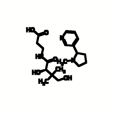 CC(C)(CO)[C@@H](O)C(=O)NCCC(=O)O.CN1CCCC1c1cccnc1